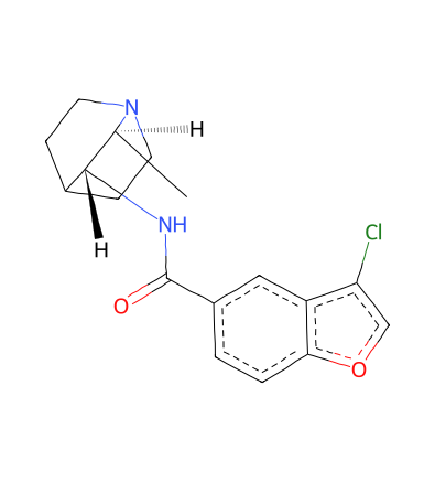 C[C@H]1[C@H](NC(=O)c2ccc3occ(Cl)c3c2)C2CCN1CC2